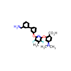 Cc1c(F)c(Oc2cccc(-c3cccc(CN)c3)c2)nc(Oc2cc(N(C)C)ccc2C(=O)O)c1F